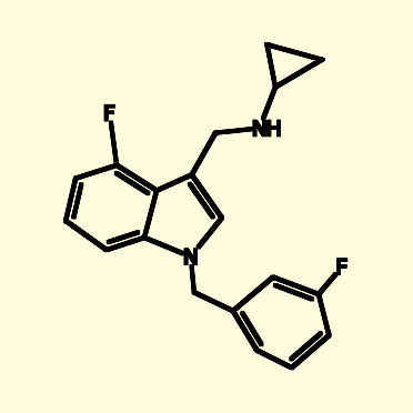 Fc1cccc(Cn2cc(CNC3CC3)c3c(F)cccc32)c1